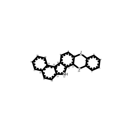 c1ccc2c(c1)Sc1ccc3c([nH]c4ccc5ccccc5c43)c1S2